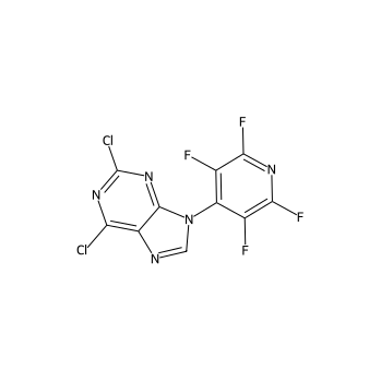 Fc1nc(F)c(F)c(-n2cnc3c(Cl)nc(Cl)nc32)c1F